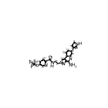 Nc1nc2cc(-c3cc[nH]n3)ccc2c2cn(CCNC(=O)c3ccc(OC(F)(F)F)cn3)nc12